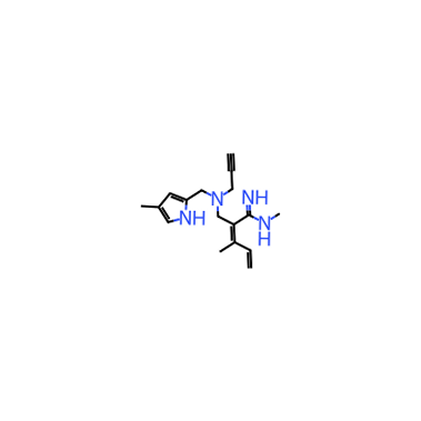 C#CCN(C/C(C(=N)NC)=C(\C)C=C)Cc1cc(C)c[nH]1